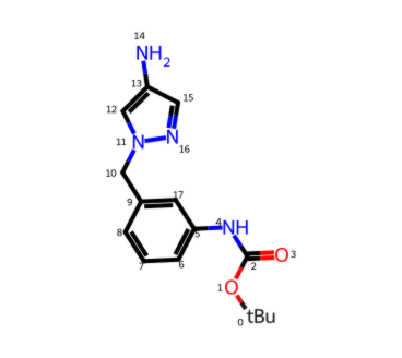 CC(C)(C)OC(=O)Nc1cccc(Cn2cc(N)cn2)c1